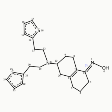 O/N=C1\CCCC2=C1CCC(N(CCc1cccs1)CCc1cccs1)C2